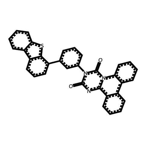 O=c1nc2c3ccccc3c3ccccc3n2c(=O)n1-c1cccc(-c2cccc3c2sc2ccccc23)c1